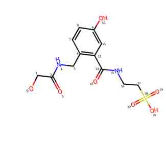 [O]CC(=O)NCc1ccc(O)cc1C(=O)NCCS(=O)(=O)O